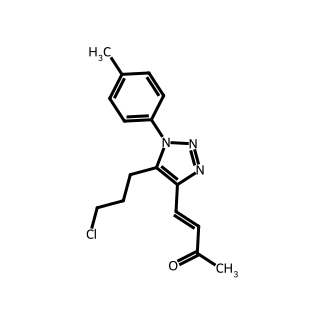 CC(=O)/C=C/c1nnn(-c2ccc(C)cc2)c1CCCCl